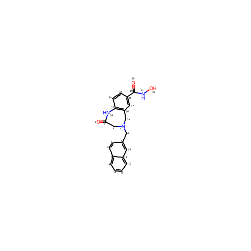 O=C1CN(Cc2ccc3ccccc3c2)Cc2cc(C(=O)NO)ccc2N1